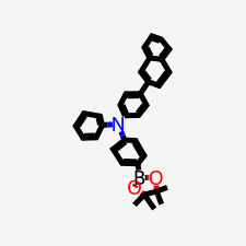 CC1(C)OB(c2ccc(N(c3ccccc3)c3ccc(-c4ccc5ccccc5c4)cc3)cc2)OC1(C)C